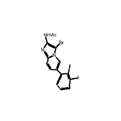 CC(=O)Nc1nc2ccc(-c3cccc(F)c3C)cn2c1Br